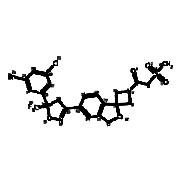 CS(=O)(=O)CC(=O)N1CC2(C1)OCc1cc(C3=NOC(c4cc(Cl)cc(Br)c4)(C(F)(F)F)C3)ccc12